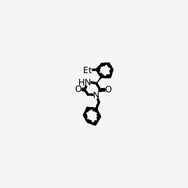 CCc1ccccc1[C@@H]1NC(=O)CN(Cc2ccccc2)C1=O